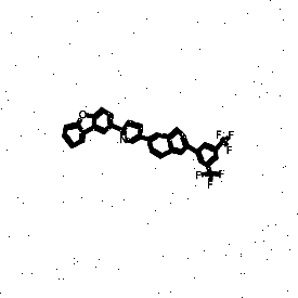 FC(F)(F)c1cc(-c2ccc3cc(-c4ccc(-c5ccc6oc7ccccc7c6c5)nc4)ccc3c2)cc(C(F)(F)F)c1